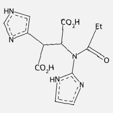 CCC(=O)N(c1ncc[nH]1)C(C(=O)O)C(C(=O)O)c1c[nH]cn1